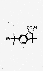 CC(C)C(F)(F)c1cc2c(cn1)C(C)(C)CN2C(=O)O